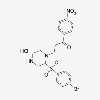 Cl.O=C(CCN1CCNCC1S(=O)(=O)c1ccc(Br)cc1)c1ccc([N+](=O)[O-])cc1